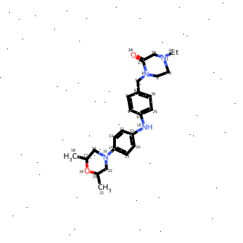 CCN1CCN(Cc2ccc(Nc3ccc(N4CC(C)OC(C)C4)cc3)cc2)C(=O)C1